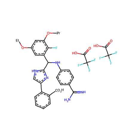 CCOc1cc(OC(C)C)c(F)c(C(Nc2ccc(C(=N)N)cc2)c2nc(-c3ccccc3C(=O)O)c[nH]2)c1.O=C(O)C(F)(F)F.O=C(O)C(F)(F)F